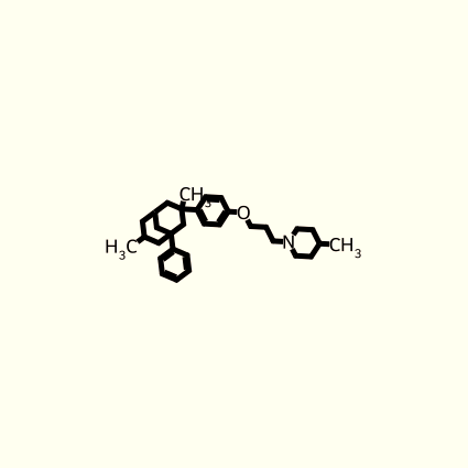 CC1CCN(CCCOc2ccc(C3(C)CC4CC(C)CC(c5ccccc5)(C4)C3)cc2)CC1